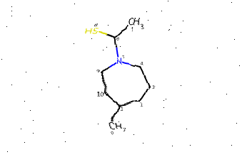 CC1CCCN(C(C)S)CC1